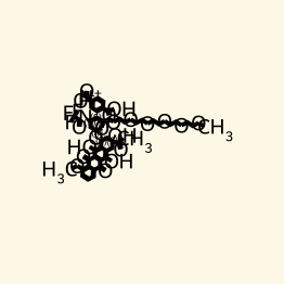 COCCOCCOCCOCCOCCOC[C@H]1O[C@@H](O[C@H]2C[C@](O)(C(C)=O)Cc3c(O)c4c(c(O)c32)C(=O)c2c(OC)cccc2C4=O)C[C@H](NC(=O)C(F)(F)F)[C@@H]1c1cc([N+](=O)[O-])ccc1C(=O)O